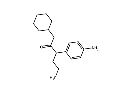 CCCC(C(=O)CC1CCCCC1)c1ccc(N)cc1